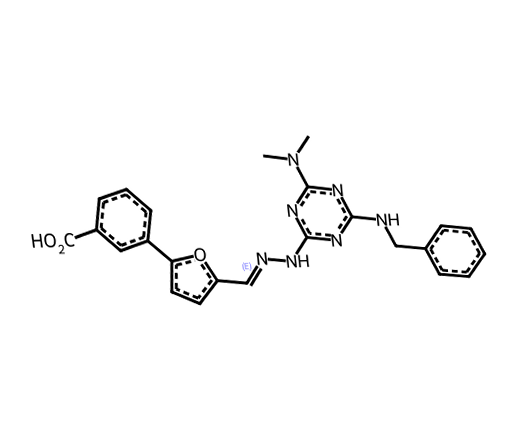 CN(C)c1nc(NCc2ccccc2)nc(N/N=C/c2ccc(-c3cccc(C(=O)O)c3)o2)n1